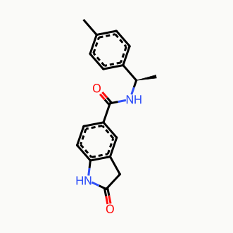 Cc1ccc([C@@H](C)NC(=O)c2ccc3c(c2)CC(=O)N3)cc1